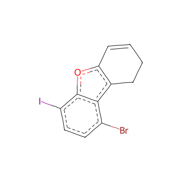 Brc1ccc(I)c2oc3c(c12)CCC=C3